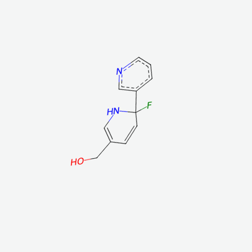 OCC1=CNC(F)(c2cccnc2)C=C1